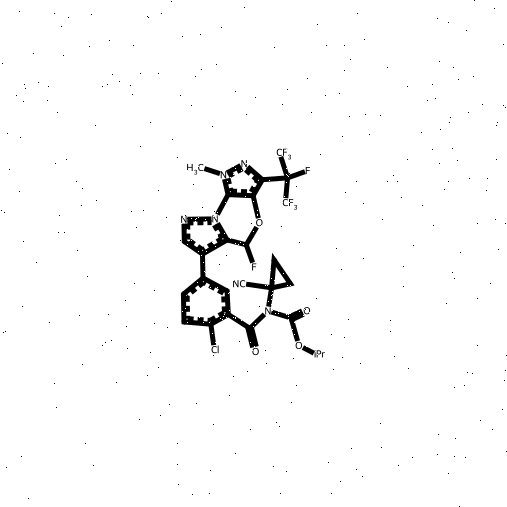 CC(C)OC(=O)N(C(=O)c1cc(-c2cnn3c2C(F)Oc2c(C(F)(C(F)(F)F)C(F)(F)F)nn(C)c2-3)ccc1Cl)C1(C#N)CC1